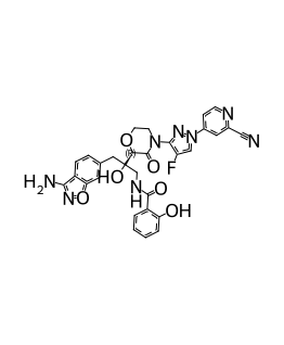 N#Cc1cc(-n2cc(F)c(N3CCO[C@H](C(O)(CNC(=O)c4ccccc4O)Cc4ccc5c(N)noc5c4)C3=O)n2)ccn1